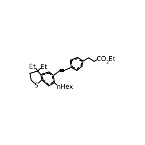 CCCCCCc1cc2c(cc1C#Cc1ccc(CCC(=O)OCC)cc1)C(CC)(CC)CCS2